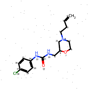 C=CCCN1CCOC(CNC(=O)Nc2ccc(Cl)cc2)C1